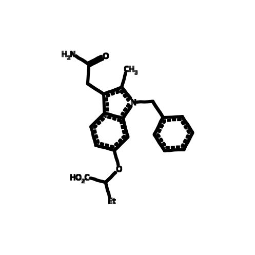 CCC(Oc1ccc2c(CC(N)=O)c(C)n(Cc3ccccc3)c2c1)C(=O)O